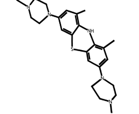 Cc1cc(N2CCN(C)CC2)cc2c1Nc1c(C)cc(N3CCN(C)CC3)cc1S2